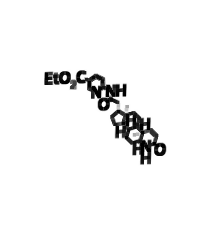 CCOC(=O)c1ccc(NC(=O)C[C@H]2CC[C@H]3[C@@H]4CC[C@H]5NC(=O)C=C[C@]5(C)[C@H]4CC[C@]23C)nc1